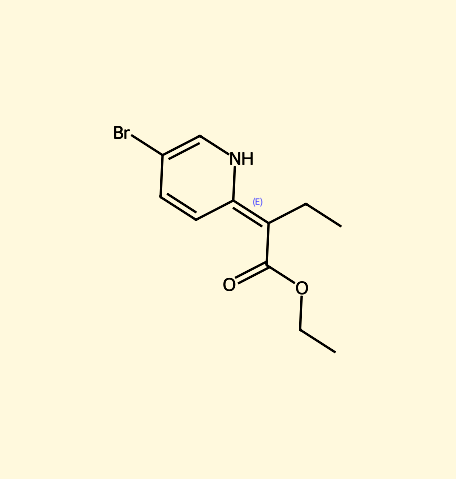 CCOC(=O)/C(CC)=C1\C=CC(Br)=CN1